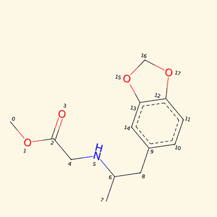 COC(=O)CNC(C)Cc1ccc2c(c1)OCO2